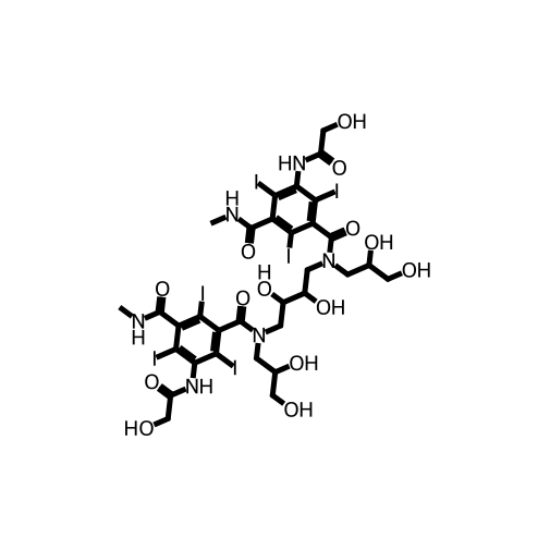 CNC(=O)c1c(I)c(NC(=O)CO)c(I)c(C(=O)N(CC(O)CO)CC(O)C(O)CN(CC(O)CO)C(=O)c2c(I)c(NC(=O)CO)c(I)c(C(=O)NC)c2I)c1I